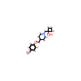 OC1(CN2CCC(COc3ccc(Br)cc3)CC2)CCC1